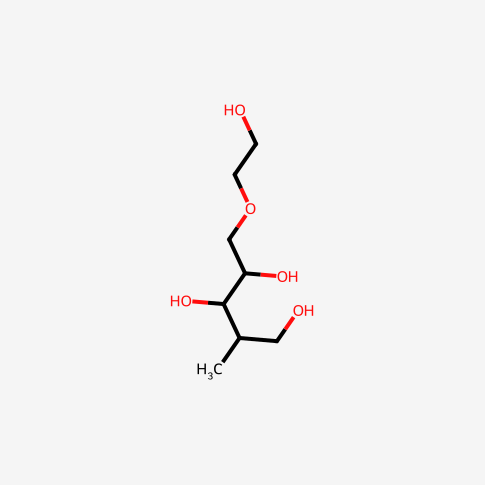 CC(CO)C(O)C(O)COCCO